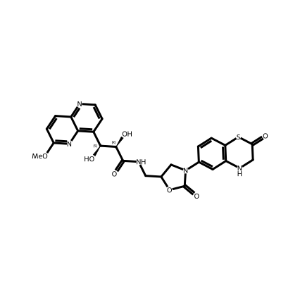 COc1ccc2nccc([C@H](O)[C@@H](O)C(=O)NCC3CN(c4ccc5c(c4)NCC(=O)S5)C(=O)O3)c2n1